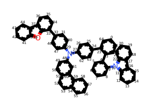 c1ccc(-c2ccccc2-n2c3ccccc3c3ccccc32)c(-c2ccc(N(c3ccc(-c4cccc5c4oc4ccccc45)cc3)c3ccc4ccc5ccccc5c4c3)cc2)c1